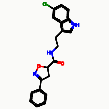 O=C(NCCc1c[nH]c2ccc(Cl)cc12)C1CC(c2ccccc2)=NO1